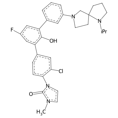 CC(C)N1CCCC12CCN(c1cccc(-c3cc(F)cc(-c4ccc(-n5ccn(C)c5=O)c(Cl)c4)c3O)c1)C2